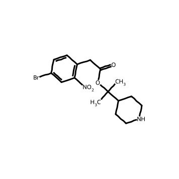 CC(C)(OC(=O)Cc1ccc(Br)cc1[N+](=O)[O-])C1CCNCC1